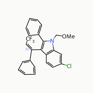 COCn1c(-c2ccccc2)c(/C(=C\C(F)(F)F)c2ccccc2)c2ccc(Cl)cc21